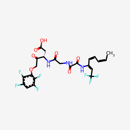 C\C=C/C=C\C(=C\C(F)(F)F)NC(=O)C(=O)NCC(=O)N[C@@H](CC(=O)O)C(=O)COc1c(F)c(F)cc(F)c1F